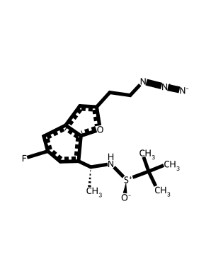 C[C@@H](N[S@+]([O-])C(C)(C)C)c1cc(F)cc2cc(CCN=[N+]=[N-])oc12